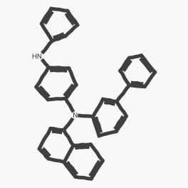 c1ccc(Nc2ccc(N(c3cccc(-c4ccccc4)c3)c3cccc4ccccc34)cc2)cc1